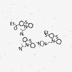 CC(CN1c2ccccc2Sc2ccccc21)N(C)C.CCC(=O)c1ccc2c(c1)N(CC(C)N(C)C)c1ccccc1S2.CCSc1ccc2c(c1)N(CCCN1CCN(C)CC1)c1ccccc1S2